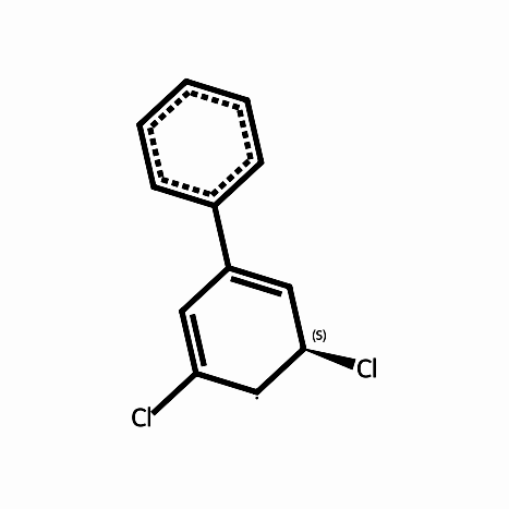 ClC1=CC(c2ccccc2)=C[C@@H](Cl)[CH]1